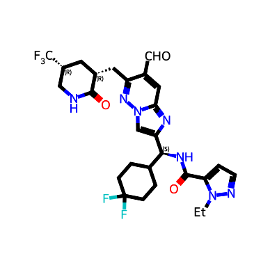 CCn1nccc1C(=O)N[C@H](c1cn2nc(C[C@H]3C[C@@H](C(F)(F)F)CNC3=O)c(C=O)cc2n1)C1CCC(F)(F)CC1